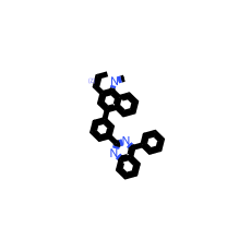 C=Nc1c(/C=C\C)cc(-c2cccc(-c3nc(-c4ccccc4)c4ccccc4n3)c2)c2ccccc12